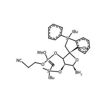 B[C@@H]1O[C@@](CO)(C[Si](c2ccccc2)(c2ccccc2)C(C)(C)C)C(OP(=C)(OC)OCCC#N)[C@@H]1O[Si](C)(C)C(C)(C)C